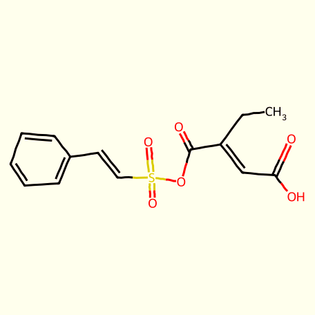 CCC(=CC(=O)O)C(=O)OS(=O)(=O)C=Cc1ccccc1